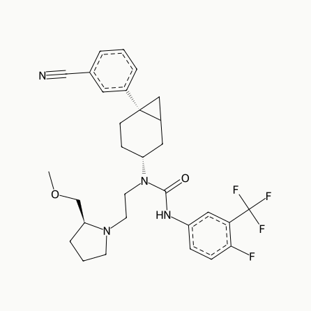 COC[C@@H]1CCCN1CCN(C(=O)Nc1ccc(F)c(C(F)(F)F)c1)[C@@H]1CC[C@@]2(c3cccc(C#N)c3)CC2C1